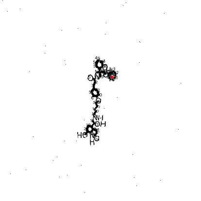 O=C(CCc1ccc(OCCCCCNCC(O)c2ccc(O)c3[nH]c(=O)ccc23)cc1)N1CC(C(=O)O[C@H]2CN3CCC2CC3)(c2ccccc2)C1